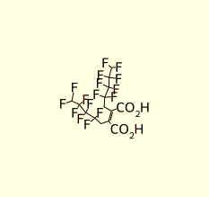 O=C(O)/C(CC(F)(F)C(F)(F)C(F)(F)C(F)F)=C(/CC(F)(F)C(F)(F)C(F)(F)C(F)F)C(=O)O